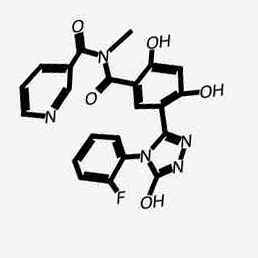 CN(C(=O)c1cccnc1)C(=O)c1cc(-c2nnc(O)n2-c2ccccc2F)c(O)cc1O